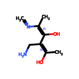 C=N/C(C)=C(O)\C(CN)=C(/C)O